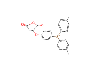 Cc1ccc([S+](c2ccc(C)cc2)c2ccc(OC3CC(=O)OC3=O)cc2)cc1